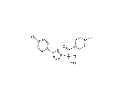 CN1CCN(C(=O)C2(c3ccc(-c4ccc(Cl)cc4)s3)COC2)CC1